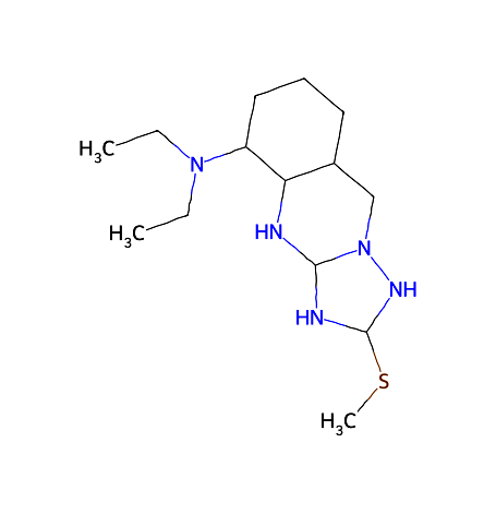 CCN(CC)C1CCCC2CN3NC(SC)NC3NC21